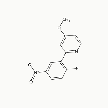 COc1ccnc(-c2cc([N+](=O)[O-])ccc2F)c1